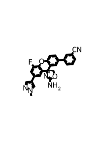 Cn1cc(-c2cc(F)c3c(c2)[C@]2(COC(N)=N2)c2cc(-c4cccc(C#N)c4)ccc2O3)cn1